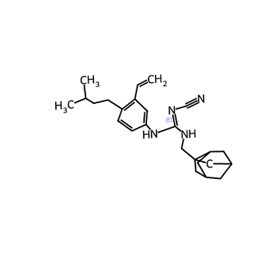 C=Cc1cc(N/C(=N/C#N)NCC23CC4CC(CC2C4)C3)ccc1CCC(C)C